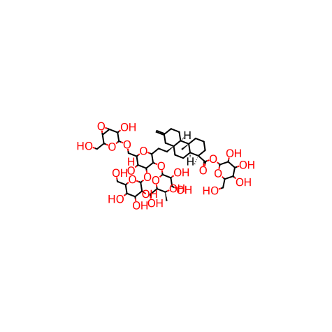 C=C1CC[C@@H]2[C@](CCC3OC(COC4OC(CO)C5OC5C4O)C(O)C(OC4OC(CO)C(O)C(O)C4O)C3OC(OC(CO)[C@H](C)O)[C@@H](O)CO)(CC[C@H]3[C@@]2(C)CCC[C@@]3(C)C(=O)OC2OC(CO)C(O)C(O)C2O)C1